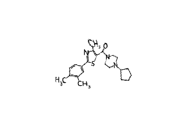 Cc1ccc(-c2nc(C)c(C(=O)N3CCN(C4CCCC4)CC3)s2)cc1C